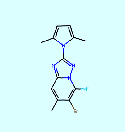 Cc1cc2nc(-n3c(C)ccc3C)nn2c(F)c1Br